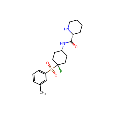 Cc1cccc(S(=O)(=O)[C@]2(F)CC[C@H](NC(=O)[C@H]3CCCCN3)CC2)c1